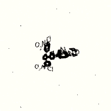 O=[N+]([O-])c1cc([C@H]2CC[C@H](c3ccc(Cl)c([N+](=O)[O-])c3)C2c2ccc(-c3ccc(N4CCOCC4)nc3)cc2)ccc1Cl